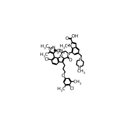 Cc1cc(OCCCc2c3n(c4c(-c5c(C)nn(C)c5C)c(Cl)ccc24)C(C)CN(c2cc(CN4CCN(C)CC4)cc4cc(C(=O)O)n(C)c24)C3=O)cc(C)c1Cl